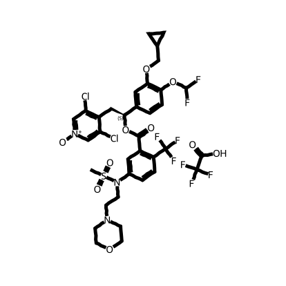 CS(=O)(=O)N(CCN1CCOCC1)c1ccc(C(F)(F)F)c(C(=O)O[C@@H](Cc2c(Cl)c[n+]([O-])cc2Cl)c2ccc(OC(F)F)c(OCC3CC3)c2)c1.O=C(O)C(F)(F)F